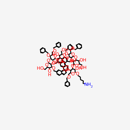 NCCCCCOC1OC(COCc2ccccc2)C(OCc2ccccc2)C(OC2OC(CO)C(O)C(OC3OC(COCc4ccccc4)C(OCc4ccccc4)C(OC4OC(CO)C(O)C(OC5OC(COCc6ccccc6)C(OCc6ccccc6)C(OC6OC(CO)C(O)C(OCc7ccc8ccccc8c7)C6OCc6ccccc6)C5O)C4OCc4ccccc4)C3O)C2OCc2ccccc2)C1O